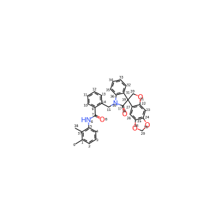 Cc1cccc(NC(=O)c2ccccc2CN2C(=O)C3(COc4cc5c(cc43)OCO5)c3ccccc32)c1C